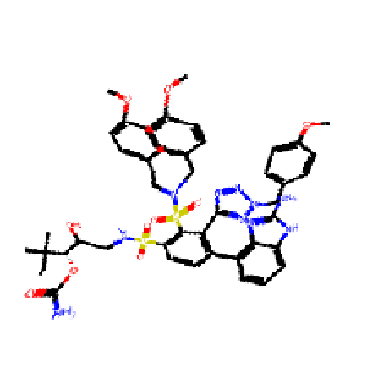 COc1ccc(CN(Cc2ccc(OC)cc2)S(=O)(=O)c2c(S(=O)(=O)NCC(O)[C@H](OC(N)=O)C(C)(C)C)ccc(-c3cccc4[nH]c(N)nc34)c2-c2nnn(Cc3ccc(OC)cc3)n2)cc1